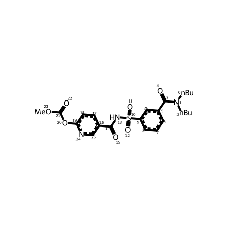 CCCCN(CCCC)C(=O)c1cccc(S(=O)(=O)NC(=O)c2ccc(OC(=O)OC)nc2)c1